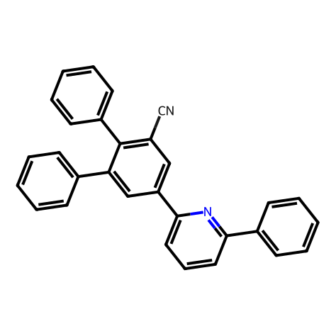 N#Cc1cc(-c2cccc(-c3ccccc3)n2)cc(-c2ccccc2)c1-c1ccccc1